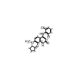 COc1ccc2c(Nc3c(Cl)cccc3Cl)cc(=O)[nH]c2c1OC1CCCC1